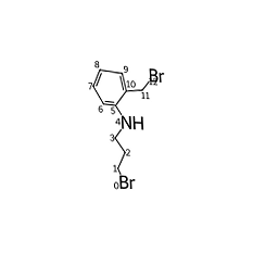 BrCCCNc1ccccc1CBr